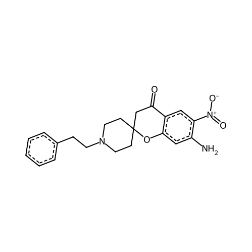 Nc1cc2c(cc1[N+](=O)[O-])C(=O)CC1(CCN(CCc3ccccc3)CC1)O2